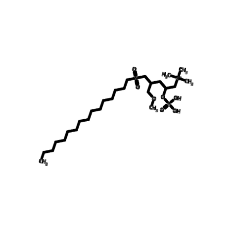 CCCCCCCCCCCCCCCCS(=O)(=O)CC(COC)CC(C[N+](C)(C)C)OP(=O)(O)O